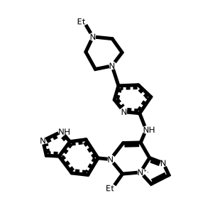 CCC1N(c2ccc3cn[nH]c3c2)C=C(Nc2ccc(N3CCN(CC)CC3)cn2)C2=NC=C[N+]21